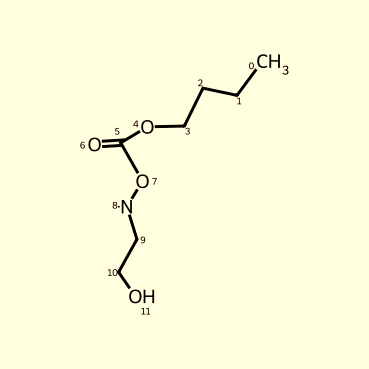 CCCCOC(=O)O[N]CCO